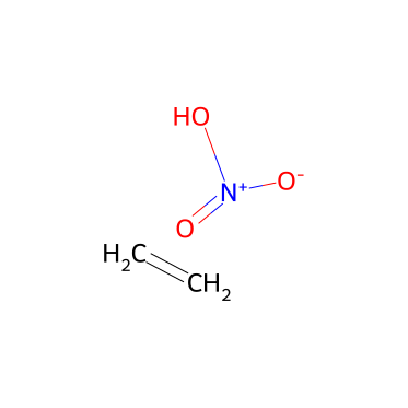 C=C.O=[N+]([O-])O